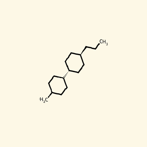 [CH2]C1CCC([C@H]2CC[C@H](CCC)CC2)CC1